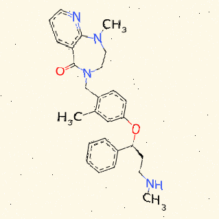 CNCC[C@H](Oc1ccc(CN2CCN(C)c3ncccc3C2=O)c(C)c1)c1ccccc1